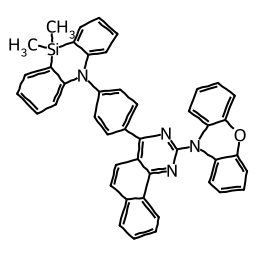 C[Si]1(C)c2ccccc2N(c2ccc(-c3nc(N4c5ccccc5Oc5ccccc54)nc4c3ccc3ccccc34)cc2)c2ccccc21